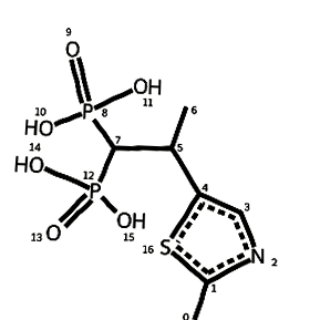 Cc1ncc(C(C)C(P(=O)(O)O)P(=O)(O)O)s1